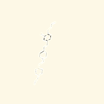 CCCCc1ccc(CCC2=CCC(CC[C@H]3CC[C@H](CCC)CC3)CC2)cc1F